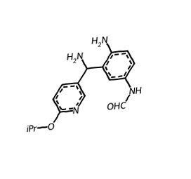 CC(C)Oc1ccc(C(N)c2cc(NC=O)ccc2N)cn1